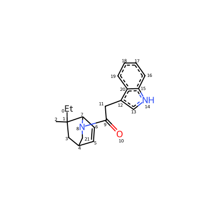 CCC1(C)CC2C=CC1N(C(=O)Cc1c[nH]c3ccccc13)C2